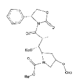 CO[C@@H](C1CC(OC=O)CN1C(=O)OC(C)(C)C)[C@@H](C)C(=O)N1C(=O)OC[C@H]1c1ccccc1